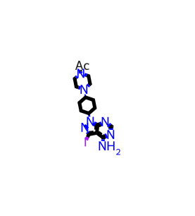 CC(=O)N1CCN([C@H]2CC[C@H](n3nc(I)c4c(N)ncnc43)CC2)CC1